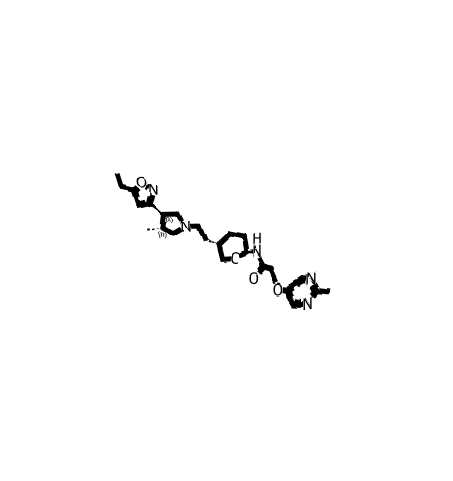 CCc1cc([C@H]2CN(CC[C@H]3CC[C@H](NC(=O)COc4cnc(C)nc4)CC3)C[C@@H]2C)no1